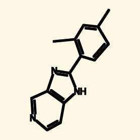 Cc1ccc(-c2nc3cnccc3[nH]2)c(C)c1